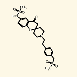 CS(=O)(=O)Cc1ccc(CCN2CCC3(CC2)CC(=O)c2cc(NS(C)(=O)=O)ccc2O3)cc1